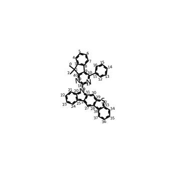 CC1(C)c2ccccc2-c2c(-c3ccccc3)nc(-n3c4ccccc4c4cc5c(cc43)sc3ccccc35)nc21